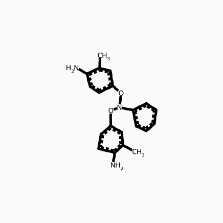 Cc1cc(ON(Oc2ccc(N)c(C)c2)c2ccccc2)ccc1N